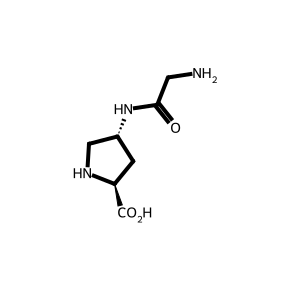 NCC(=O)N[C@H]1CN[C@H](C(=O)O)C1